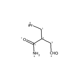 CC(C)CC(CC=O)C(N)=O